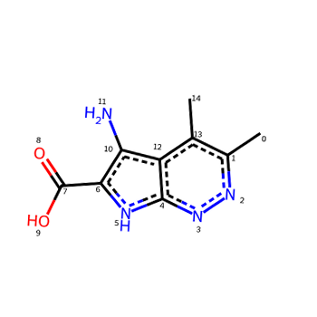 Cc1nnc2[nH]c(C(=O)O)c(N)c2c1C